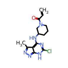 C=CC(=O)N1CCCC(Nc2nc(Cl)[nH]c3nnc(C)c2-3)C1